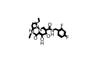 CC[C@@H]1CC[C@H]2N(CC)C(=O)c3c(O)c(=O)c(C(=O)NCc4ccc(F)cc4F)cn3N12